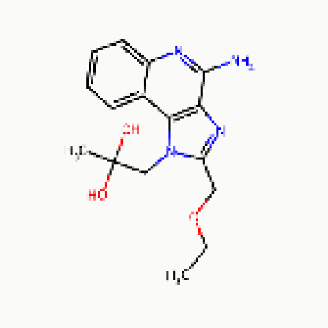 CCOCc1nc2c(N)nc3ccccc3c2n1CC(C)(O)O